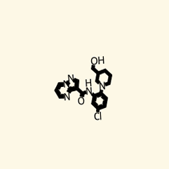 O=C(Nc1cc(Cl)ccc1N1CCCC(CO)C1)c1cnn2cccnc12